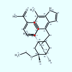 CCO[C@@H]1C[C@@]2(c3ccc(C(=O)O)cc3)CC[C@@H]1CN2Cc1c(OC)cc(C)c2[nH]ccc12